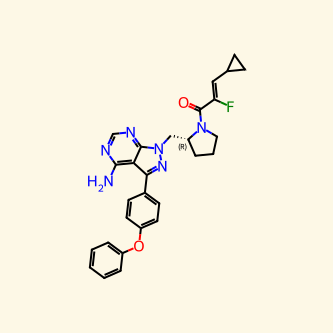 Nc1ncnc2c1c(-c1ccc(Oc3ccccc3)cc1)nn2C[C@H]1CCCN1C(=O)C(F)=CC1CC1